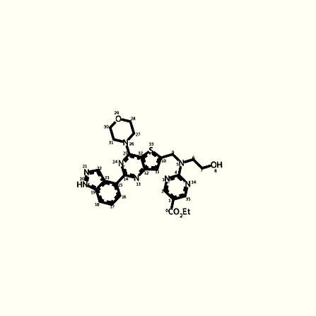 CCOC(=O)c1cnc(N(CCO)Cc2cc3nc(-c4cccc5[nH]ncc45)nc(N4CCOCC4)c3s2)nc1